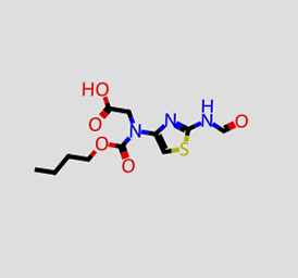 CCCCOC(=O)N(CC(=O)O)c1csc(NC=O)n1